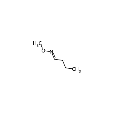 CC[CH]/C=N/OC